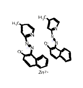 Cc1ccnc(/N=N/c2c([O-])ccc3ccccc23)c1.Cc1ccnc(/N=N/c2c([O-])ccc3ccccc23)c1.[Zn+2]